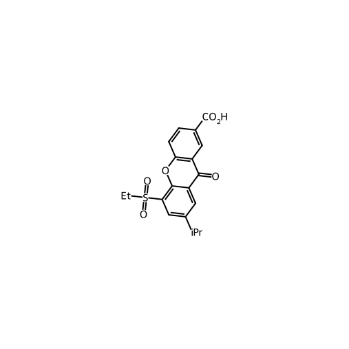 CCS(=O)(=O)c1cc(C(C)C)cc2c(=O)c3cc(C(=O)O)ccc3oc12